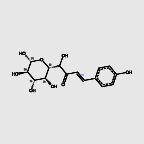 O=C(/C=C/c1ccc(O)cc1)C(O)[C@H]1O[C@@H](O)[C@H](O)[C@@H](O)[C@@H]1O